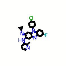 Cc1ncccc1Nc1cc2nc3cc(F)ccc3n(-c3ccc(Cl)cc3)c-2c/c1=N\C1CC1